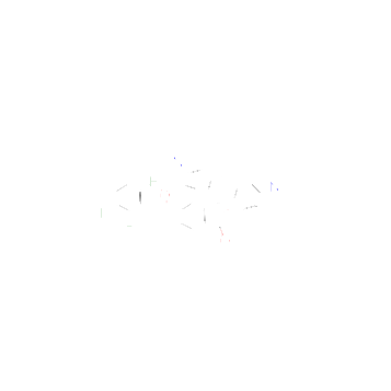 O=C(Oc1c(F)c(F)cc(F)c1F)c1ccc2c(c1)C1(OC2=O)c2cc3c4c(c2Oc2c1cc1c5c2CCCN5CCCC1)CCCN4CCCC3